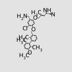 COc1ccc(C)c(-c2cccc(COc3cc(OC/C(C)=C/C(=N)C#N)c(CN)cc3Cl)c2C)c1C